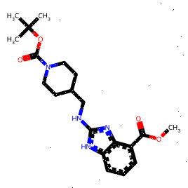 COC(=O)c1cccc2[nH]c(NCC3CCN(C(=O)OC(C)(C)C)CC3)nc12